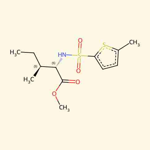 CC[C@H](C)[C@H](NS(=O)(=O)c1ccc(C)s1)C(=O)OC